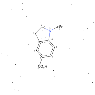 CCCN1CCc2cc(C(=O)O)ccc21